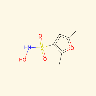 Cc1cc(S(=O)(=O)NO)c(C)o1